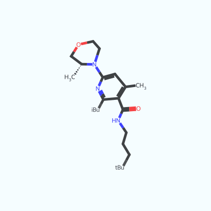 CCC(C)c1nc(N2CCOC[C@H]2C)cc(C)c1C(=O)NCCCC(C)(C)C